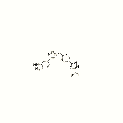 FC(F)c1nnc(-c2ccc(Cn3cc(-c4ccc5cn[nH]c5c4)nn3)nc2)o1